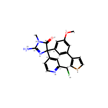 COc1cc(-c2ccsc2)cc(C2(c3ccnc(CF)c3)N=C(N)N(C)C2=O)c1